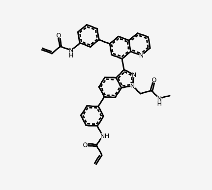 C=CC(=O)Nc1cccc(-c2cc(-c3nn(CC(=O)NC)c4cc(-c5cccc(NC(=O)C=C)c5)ccc34)c3ncccc3c2)c1